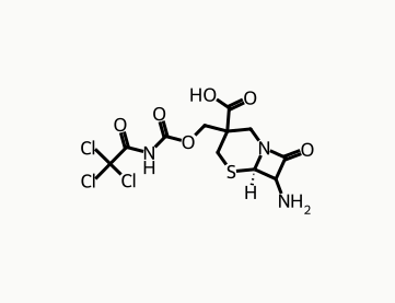 NC1C(=O)N2CC(COC(=O)NC(=O)C(Cl)(Cl)Cl)(C(=O)O)CS[C@H]12